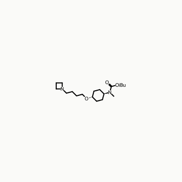 CC(C)COC(=O)N(C)[C@H]1CC[C@H](OCCCCN2CCC2)CC1